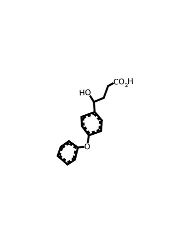 O=C(O)CCC(O)c1ccc(Oc2ccccc2)cc1